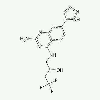 Nc1nc(NC[C@H](O)CC(F)(F)F)c2ccc(-c3ccn[nH]3)cc2n1